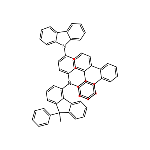 CC1(c2ccccc2)c2ccccc2-c2c(N(c3ccc(-n4c5ccccc5c5ccccc54)cc3)c3ccccc3-c3ccccc3-c3ccccc3-c3ccccc3)cccc21